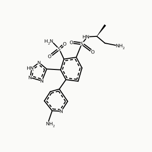 C[C@@H](CN)NS(=O)(=O)c1ccc(-c2ccc(N)nc2)c(-c2nn[nH]n2)c1S(N)(=O)=O